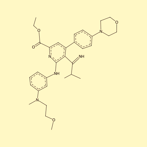 CCOC(=O)c1cc(-c2ccc(N3CCOCC3)cc2)c(C(=N)C(C)C)c(Nc2cccc(N(C)CCOC)c2)n1